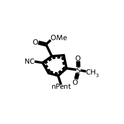 CCCCCc1cc(C#N)c(C(=O)OC)cc1S(C)(=O)=O